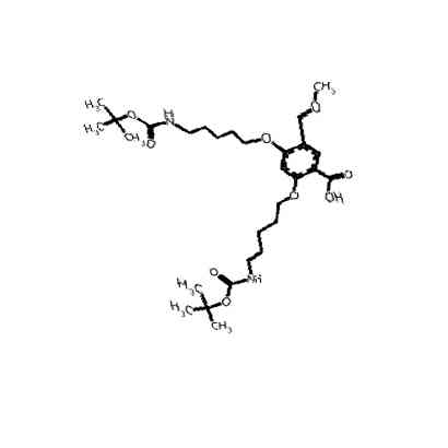 COCc1cc(C(=O)O)c(OCCCCCNC(=O)OC(C)(C)C)cc1OCCCCCNC(=O)OC(C)(C)C